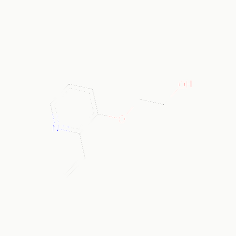 C=Cc1ncccc1OCCO